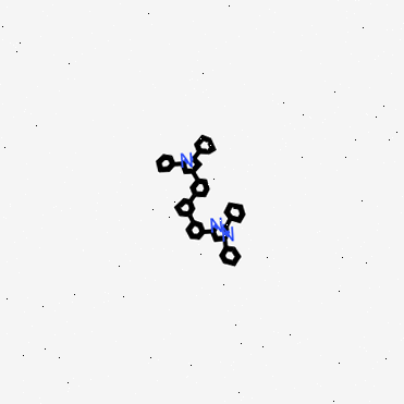 c1ccc(-c2cc(-c3cccc(-c4cccc(-c5cccc(-c6cc(-c7ccccc7)nc(-c7ccccc7)n6)c5)c4)c3)cc(-c3ccccc3)n2)cc1